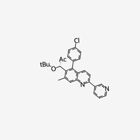 CC(=O)[C@@H](OC(C)(C)C)c1c(C)cc2nc(-c3cccnc3)ccc2c1-c1ccc(Cl)cc1